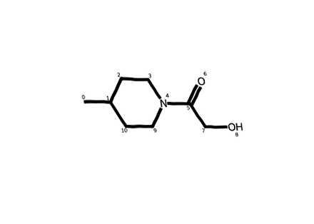 CC1CCN(C(=O)CO)CC1